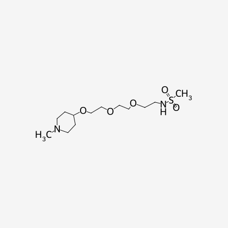 CN1CCC(OCCOCCOCCNS(C)(=O)=O)CC1